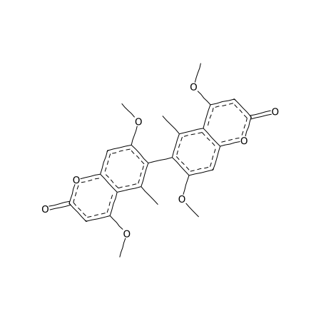 COc1cc2oc(=O)cc(OC)c2c(C)c1-c1c(OC)cc2oc(=O)cc(OC)c2c1C